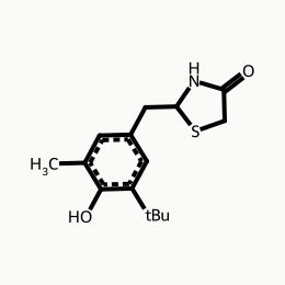 Cc1cc(CC2NC(=O)CS2)cc(C(C)(C)C)c1O